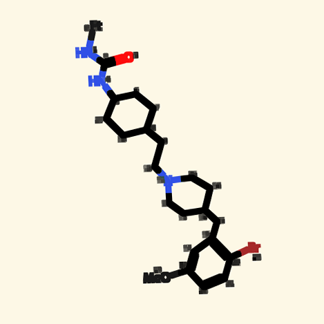 CCNC(=O)NC1CCC(CCN2CCC(Cc3cc(OC)ccc3Br)CC2)CC1